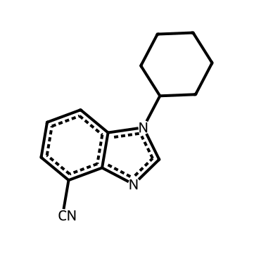 N#Cc1cccc2c1ncn2C1CCCCC1